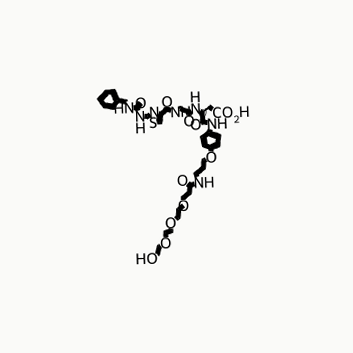 O=C(O)C[C@H](NC(=O)CNC(=O)c1csc(NC(=O)NCc2ccccc2)n1)C(=O)Nc1ccc(OCCCNC(=O)CCOCCOCCOCCO)cc1